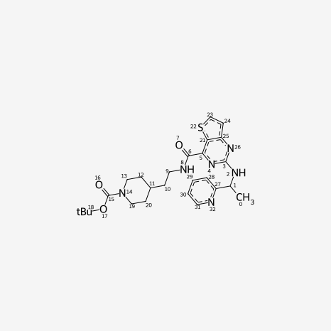 CC(Nc1nc(C(=O)NCCC2CCN(C(=O)OC(C)(C)C)CC2)c2sccc2n1)c1ccccn1